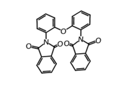 O=C1c2ccccc2C(=O)N1c1ccccc1Oc1ccccc1N1C(=O)c2ccccc2C1=O